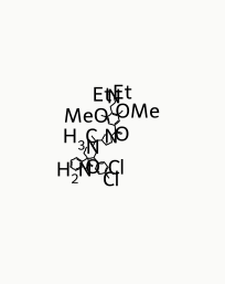 CCN(CC)CCc1c(OC)cc(C(=O)N2CCC(C(C)N3CCC(C(N)=O)(c4ccccc4)C(c4ccc(Cl)c(Cl)c4)C3)C2)cc1OC